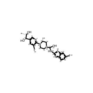 C[C@H](O)[C@@H](O)c1cnc(N2CCN(C(O)Nc3nc4ccc(F)cc4s3)C[C@H]2C)c(F)c1